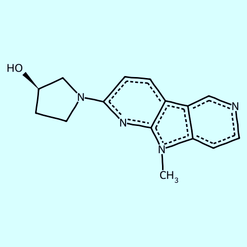 Cn1c2ccncc2c2ccc(N3CC[C@@H](O)C3)nc21